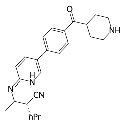 CCC[C@@H](C#N)C(C)/N=c1/ccc(-c2ccc(C(=O)C3CCNCC3)cc2)c[nH]1